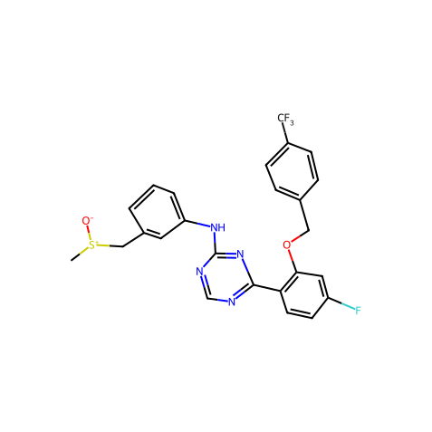 C[S+]([O-])Cc1cccc(Nc2ncnc(-c3ccc(F)cc3OCc3ccc(C(F)(F)F)cc3)n2)c1